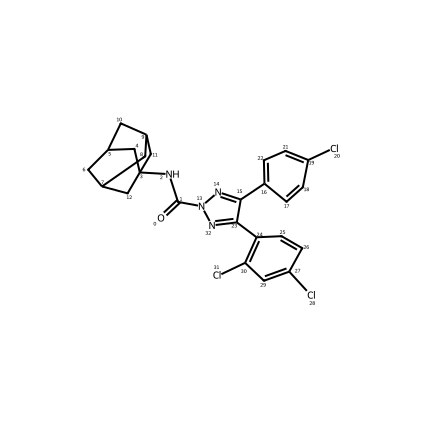 O=C(NC12CC3CC(CC(C3)C1)C2)n1nc(-c2ccc(Cl)cc2)c(-c2ccc(Cl)cc2Cl)n1